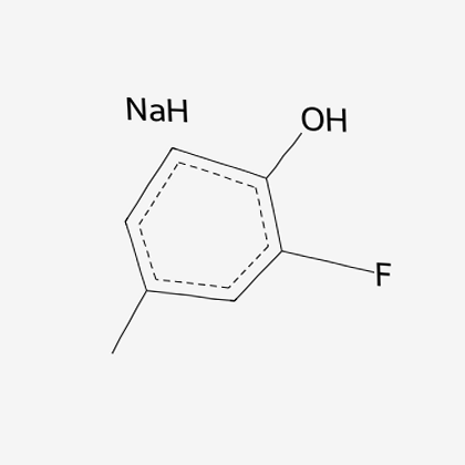 Cc1ccc(O)c(F)c1.[NaH]